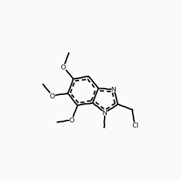 COc1cc2nc(CCl)n(C)c2c(OC)c1OC